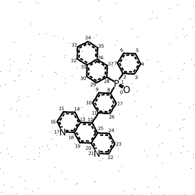 O=P(c1ccccc1)(c1ccc(-c2c3cccnc3cc3ncccc23)cc1)c1ccc2ccccc2c1